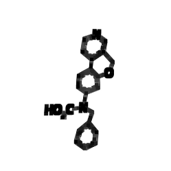 O=C(O)N(Cc1ccccc1)c1ccc2c(c1)OCc1cnccc1-2